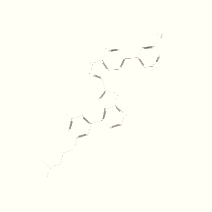 CN(C)CCOc1cc(F)cc(-c2ccnc3[nH]c(-c4n[nH]c5ncc(-c6cncc(N)c6)cc45)cc23)c1